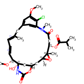 COc1cc2cc(c1Cl)N(C)C(=O)C[C@H](OC(=O)C(C)C)[C@]1(C)O[C@H]1C[C@@H]1C[C@@](O)(NC(=O)O1)[C@H](OC)/C=C/C=C(\C)C2